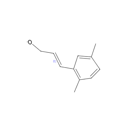 Cc1ccc(C)c(/C=C/C[O])c1